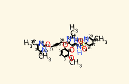 COc1ccccc1Oc1c(NS(=O)(=O)c2ccc(C)cn2)nc(C)nc1OCC#CCOc1nc(C)cc(C)n1